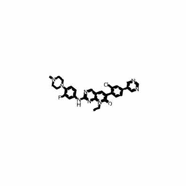 CCn1c(=O)c(-c2ccc(-c3cncnc3)cc2Cl)cc2cnc(Nc3ccc(N4CCN(C)CC4)c(F)c3)nc21